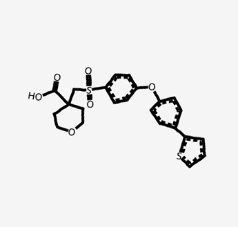 O=C(O)C1(CS(=O)(=O)c2ccc(Oc3ccc(-c4cccs4)cc3)cc2)CCOCC1